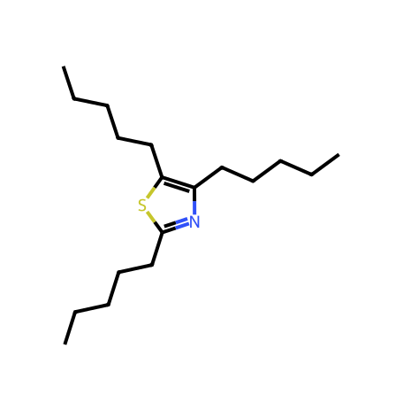 CCCCCc1nc(CCCCC)c(CCCCC)s1